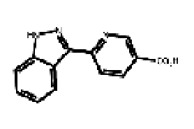 O=C(O)c1ccc(-c2n[nH]c3ccccc23)nc1